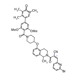 COc1cc(-c2cn(C)c(=O)c(C)c2C)cc(OC)c1C(=O)N1CCC(Oc2cccc3c2CCN(C(=O)/C(C#N)=C\c2cccc(Br)n2)C3C)CC1